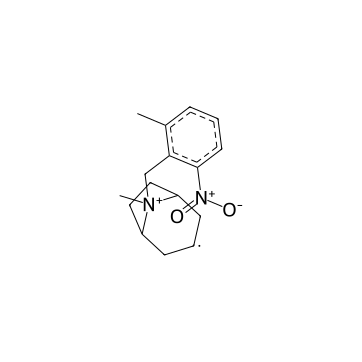 Cc1cccc([N+](=O)[O-])c1C[N+]1(C)C2C[CH]CC1CC2